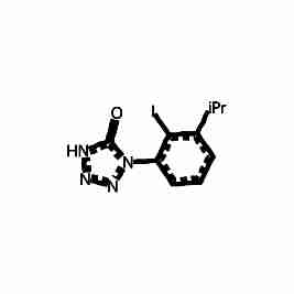 CC(C)c1cccc(-n2nn[nH]c2=O)c1I